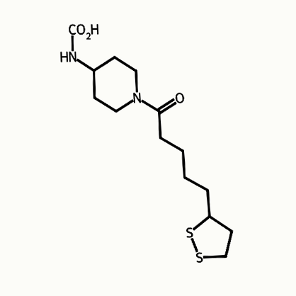 O=C(O)NC1CCN(C(=O)CCCCC2CCSS2)CC1